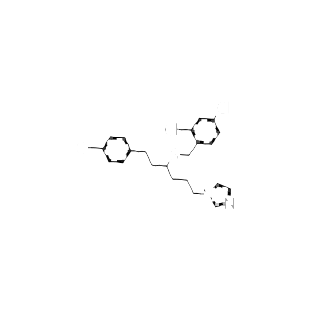 Clc1ccc(CCC(CCCn2ccnc2)SCc2ccc(Cl)cc2Cl)cc1